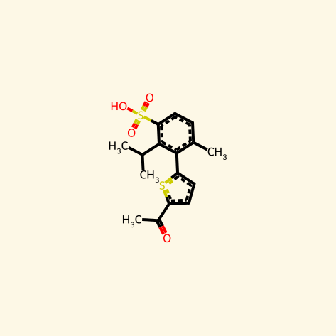 CC(=O)c1ccc(-c2c(C)ccc(S(=O)(=O)O)c2C(C)C)s1